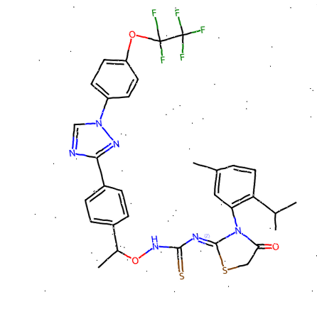 Cc1ccc(C(C)C)c(N2C(=O)CS/C2=N\C(=S)NOC(C)c2ccc(-c3ncn(-c4ccc(OC(F)(F)C(F)(F)F)cc4)n3)cc2)c1